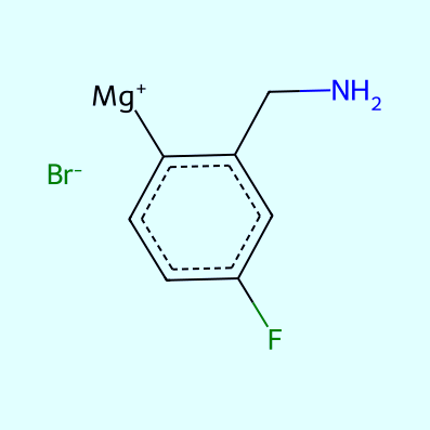 NCc1cc(F)cc[c]1[Mg+].[Br-]